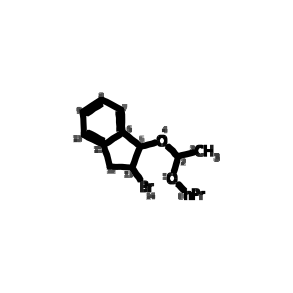 CCCOC(C)OC1c2ccccc2CC1Br